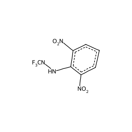 O=[N+]([O-])c1cccc([N+](=O)[O-])c1NNC(F)(F)F